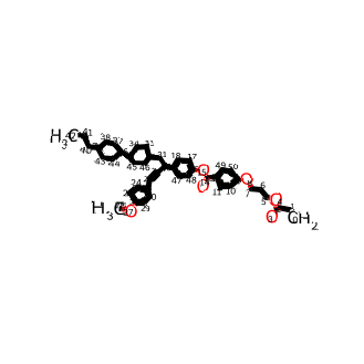 C=CC(=O)OCCCOc1ccc(C(=O)Oc2ccc(C(C#Cc3ccc(OC)cc3)CC3CCC(C4CCC(CCC)CC4)CC3)cc2)cc1